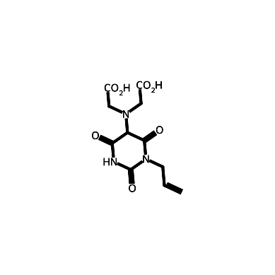 C=CCN1C(=O)NC(=O)C(N(CC(=O)O)CC(=O)O)C1=O